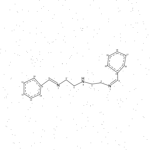 C(=N/CCNCC/N=C/c1ccccc1)/c1ccccc1